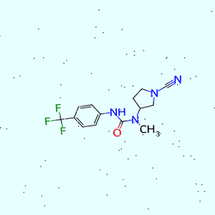 CN(C(=O)Nc1ccc(C(F)(F)F)cc1)C1CCN(C#N)C1